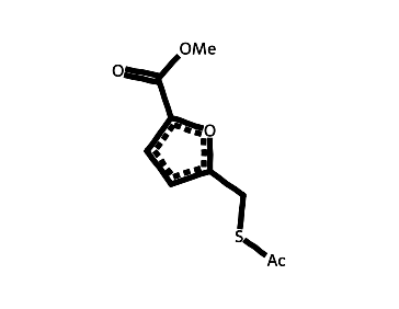 COC(=O)c1ccc(CSC(C)=O)o1